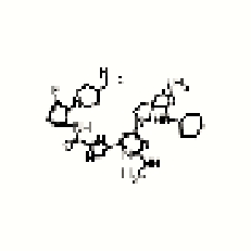 CNc1nc(-c2c[nH]c(C(=O)Nc3cccc(F)c3N3CCC(CN)CC3)n2)cc(N2CCC(COC)(C(=O)NC3CCCCC3)C2)n1